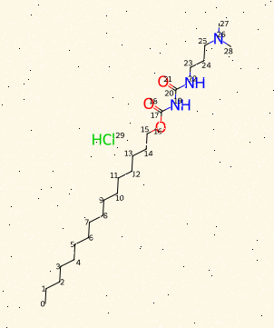 CCCCCCCCCCCCCCCCOC(=O)NC(=O)NCCCN(C)C.Cl